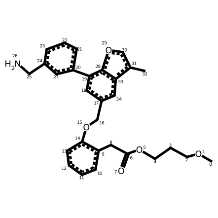 COCCCOC(=O)Cc1ccccc1OCc1cc(-c2cccc(CN)c2)c2occ(C)c2c1